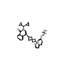 CC(C)(O)COC1=C[N+]2(C3CC4(CC(c5cn(C(C6CC6)C6CC6)c(=O)c6ccccc56)C4)C3)N=CC=C2C=C1